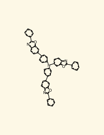 c1ccc(-c2nc3ccc(-c4ccc(N(c5ccc(-c6ccc7nc(-c8ccccc8)oc7c6)cc5)c5ccc6nc(-c7ccccc7)oc6c5)cc4)cc3o2)cc1